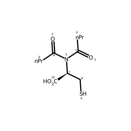 CCCC(=O)N(C(=O)CCC)[C@@H](CS)C(=O)O